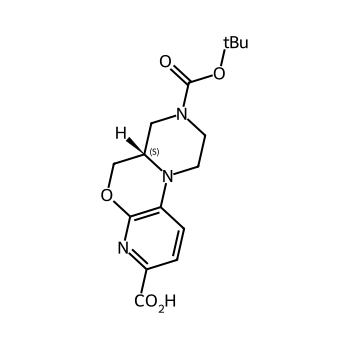 CC(C)(C)OC(=O)N1CCN2c3ccc(C(=O)O)nc3OC[C@@H]2C1